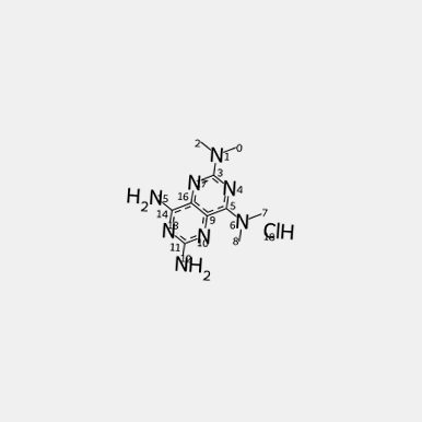 CN(C)c1nc(N(C)C)c2nc(N)nc(N)c2n1.Cl